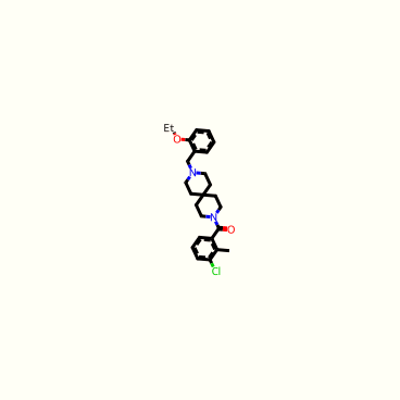 CCOc1ccccc1CN1CCC2(CC1)CCN(C(=O)c1cccc(Cl)c1C)CC2